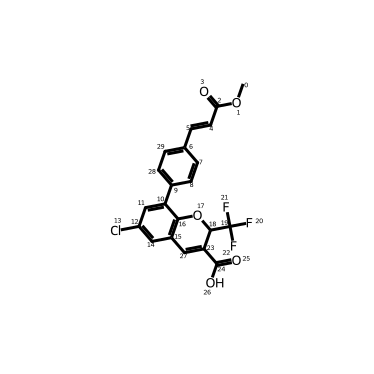 COC(=O)C=Cc1ccc(-c2cc(Cl)cc3c2OC(C(F)(F)F)C(C(=O)O)=C3)cc1